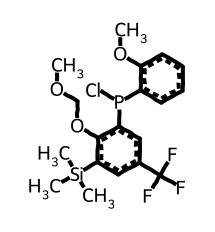 COCOc1c(P(Cl)c2ccccc2OC)cc(C(F)(F)F)cc1[Si](C)(C)C